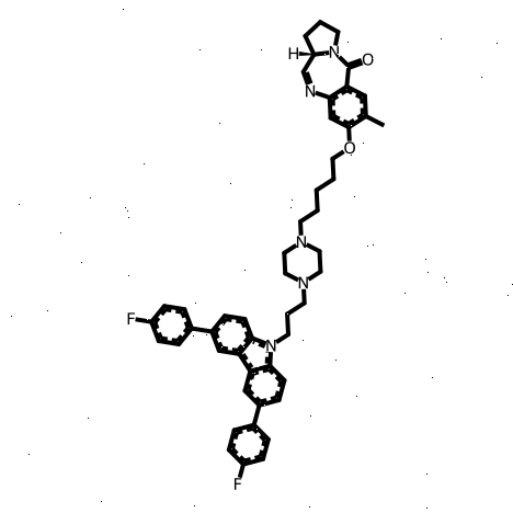 Cc1cc2c(cc1OCCCCCN1CCN(CCCn3c4ccc(-c5ccc(F)cc5)cc4c4cc(-c5ccc(F)cc5)ccc43)CC1)N=C[C@@H]1CCCN1C2=O